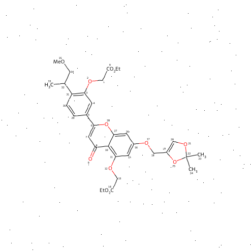 CCOC(=O)COc1cc(-c2cc(=O)c3c(OCC(=O)OCC)cc(OCC4=COC(C)(C)O4)cc3o2)ccc1C(C)COC